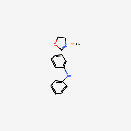 C1=NCCO1.P.[Co].c1ccc(Nc2ccccc2)cc1